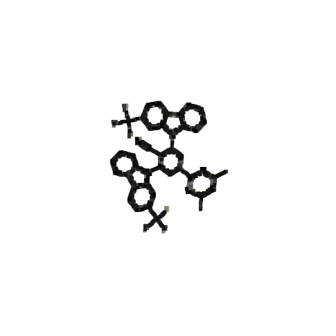 Cc1cc(C)nc(-c2cc(-n3c4ccccc4c4ccc(C(F)(F)F)cc43)c(C#N)c(-n3c4ccccc4c4ccc(C(F)(F)F)cc43)c2)n1